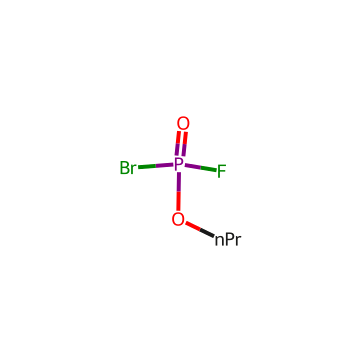 CCCOP(=O)(F)Br